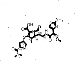 CO/N=C(\C(=O)N[C@H](C)[C@H]1C(=O)N2C(C(=O)O)=C(S[C@@H]3CN[C@H](C(=O)N(C)C)C3)[C@H](C)[C@H]12)c1csc(N)n1